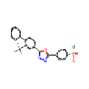 O=S(=O)(Cl)c1ccc(-c2nnc(-c3ccc(-c4ccccc4)c(C(F)(F)F)c3)o2)cc1